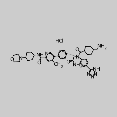 Cc1cc(C(=O)N[C@H]2CC[C@H](N3CCOCC3)CC2)ncc1-c1ccc(C[C@@H](C(N)=O)N(c2ccc(-c3nnn[nH]3)cc2)C(=O)[C@H]2CC[C@H](CN)CC2)cc1.Cl